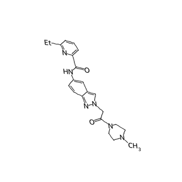 CCc1cccc(C(=O)Nc2ccc3nn(CC(=O)N4CCN(C)CC4)cc3c2)n1